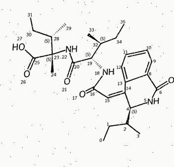 CCC(C)[C@@H]1NC(=O)c2ccccc2C1=CC(=O)N[C@H](C(=O)N[C@](C)(C(=O)O)[C@@H](C)CC)[C@@H](C)CC